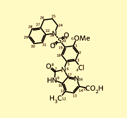 COc1cc(Cl)c(-n2c(=O)[nH]c3c(C)cc(C(=O)O)nc32)cc1S(=O)(=O)N1CCCc2ccccc21